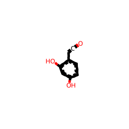 O=C=Cc1ccc(O)cc1O